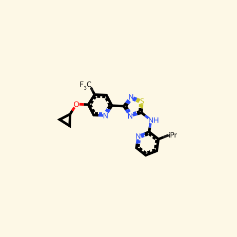 CC(C)c1cccnc1Nc1nc(-c2cc(C(F)(F)F)c(OC3CC3)cn2)ns1